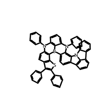 c1ccc(-c2sc3c4c(ccc3c2-c2ccccc2)N(c2ccccc2)c2cccc3c2B4c2ccc4c5cccc6c7ccccc7n(c4c2N3c2ccccc2)c65)cc1